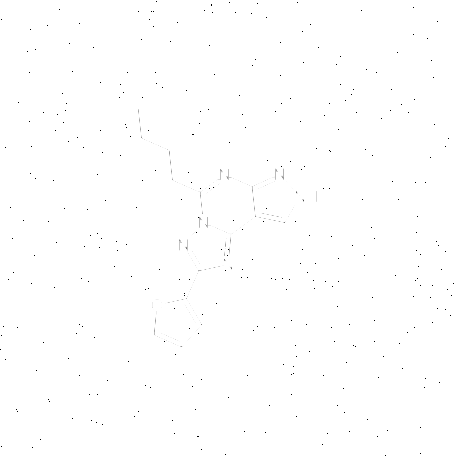 CCCCc1nc2n[nH]cc2c2nc(-c3ccco3)nn12